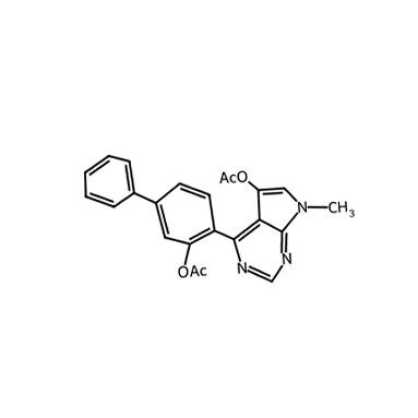 CC(=O)Oc1cc(-c2ccccc2)ccc1-c1ncnc2c1c(OC(C)=O)cn2C